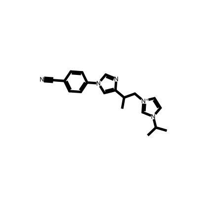 CC(C[n+]1ccn(C(C)C)c1)c1cn(-c2ccc(C#N)cc2)cn1